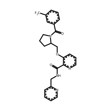 O=C(NCc1ccccn1)c1ncccc1OCC1CCCN1C(=O)c1cccc(C(F)(F)F)c1